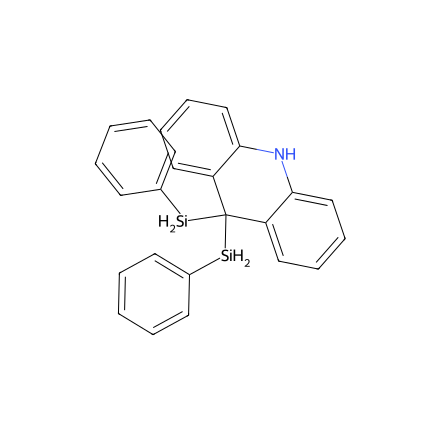 c1ccc([SiH2]C2([SiH2]c3ccccc3)c3ccccc3Nc3ccccc32)cc1